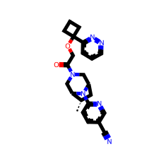 C[C@H]1CC2CN(C(=O)COC3(c4cccnn4)CCC3)CC1N2c1ccc(C#N)cn1